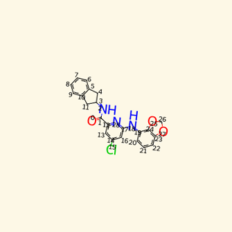 O=C(NC1Cc2ccccc2C1)c1cc(Cl)cc(Nc2cccc3c2OCO3)n1